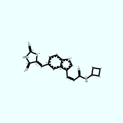 O=C(/C=C\c1coc2ccc(/C=C3\SC(=O)NC3=O)cc12)NC1CCC1